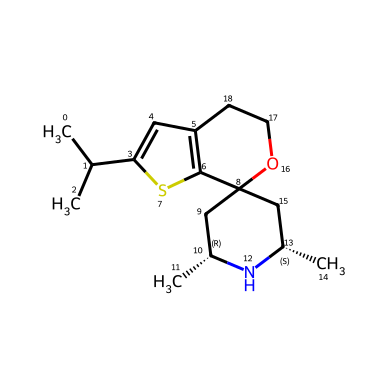 CC(C)c1cc2c(s1)C1(C[C@@H](C)N[C@@H](C)C1)OCC2